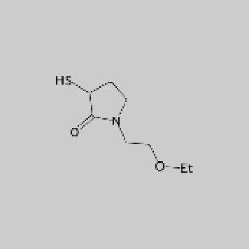 CCOCCN1CCC(S)C1=O